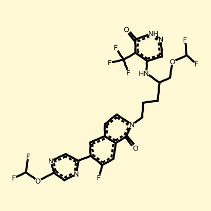 O=c1[nH]ncc(NC(CCCn2ccc3cc(-c4cnc(OC(F)F)cn4)c(F)cc3c2=O)COC(F)F)c1C(F)(F)F